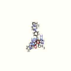 Cc1c(C(=O)NC2CC3CCC(C2)N3c2ccc(C(=O)NCc3ccc(N4CCN(C)CC4)cc3)cn2)ccc2[nH]cnc12